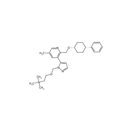 Cc1cnc(CO[C@H]2CC[C@@H](c3ccccc3)CC2)c(-c2ccnn2COCC[Si](C)(C)C)c1